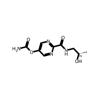 C[C@H](O)CNC(=O)c1ncc(OC(N)=O)cn1